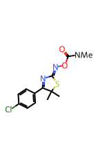 CNC(=O)ON=C1N=C(c2ccc(Cl)cc2)C(C)(C)S1